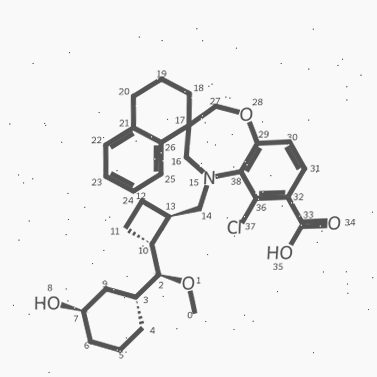 CO[C@@H]([C@@H]1CCC[C@@H](O)C1)[C@@H]1CC[C@H]1CN1CC2(CCCc3ccccc32)COc2ccc(C(=O)O)c(Cl)c21